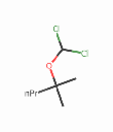 CCCC(C)(C)OC(Cl)Cl